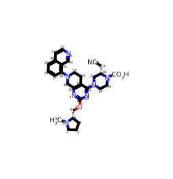 CN1CCC[C@H]1COc1nc2c(c(N3CCN(C(=O)O)[C@@H](CC#N)C3)n1)CCN(c1cccc3ccncc13)C2